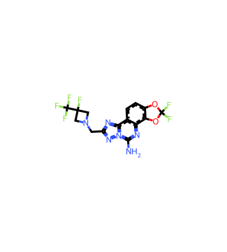 Nc1nc2c3c(ccc2c2nc(CN4CC(F)(C(F)(F)F)C4)nn12)OC(F)(F)O3